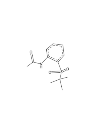 CC(=O)Nc1ccccc1S(=O)(=O)C(C)(C)C